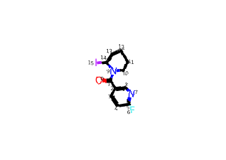 O=C(c1ccc(F)nc1)N1CCCCC1I